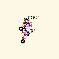 CC1(C)S[C@@H]2[C@H](NC(=O)C(NC(=O)[C@H]3CCCN3C(=O)OCc3ccccc3)c3ccccc3)C(=O)N2[C@H]1C(=O)[O-].O.[K+]